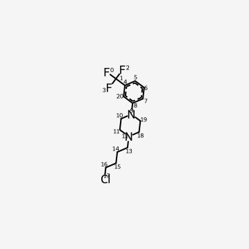 FC(F)(F)c1cccc(N2CCN(CCCCCl)CC2)c1